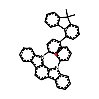 CC1(C)c2ccccc2-c2c(-c3ccc(-n4c5ccccc5c5ccc6c7ccccc7n(-c7ccccc7)c6c54)cc3)cccc21